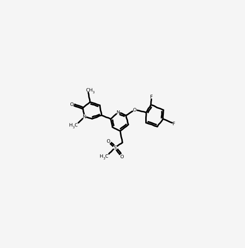 Cc1cc(-c2cc(CS(C)(=O)=O)cc(Oc3ccc(F)cc3F)n2)cn(C)c1=O